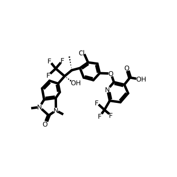 C[C@H](c1ccc(Oc2nc(C(F)(F)F)ccc2C(=O)O)cc1Cl)[C@@](O)(c1ccc2c(c1)n(C)c(=O)n2C)C(F)(F)F